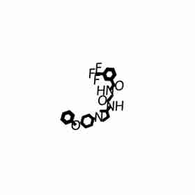 O=C(CNC(=O)c1cccc(C(F)(F)F)c1)NC1CCN(C2CCC(Oc3ccccc3)CC2)C1